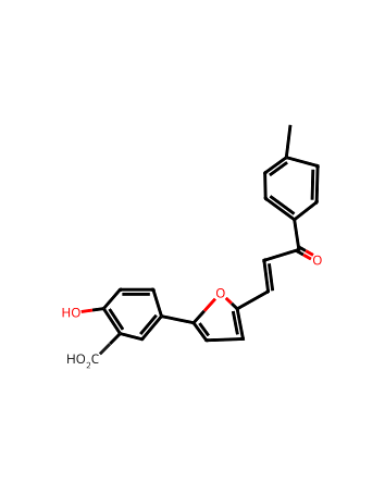 Cc1ccc(C(=O)/C=C/c2ccc(-c3ccc(O)c(C(=O)O)c3)o2)cc1